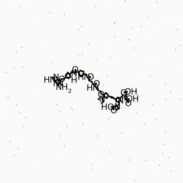 CCN(CC(=O)O)Cc1cc(C#Cc2ccc(OCCCNC(=O)CCCC(=O)NCc3ccc(C(=O)NCc4ccc(COc5nc(N)nc6[nH]cnc56)cc4)cc3)c(N(CC)CC)c2)cc(CN(CC(=O)O)CC(=O)O)n1